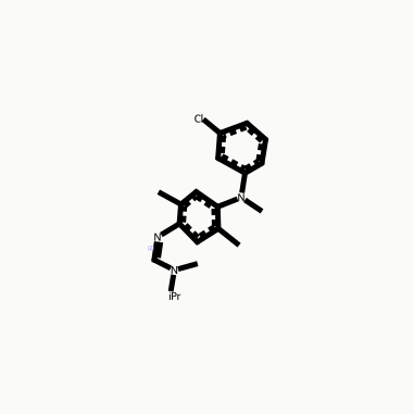 Cc1cc(N(C)c2cccc(Cl)c2)c(C)cc1/N=C\N(C)C(C)C